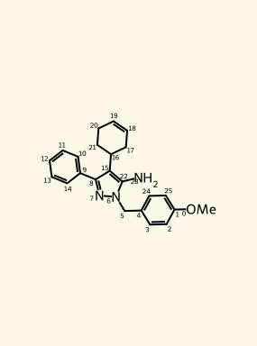 COc1ccc(Cn2nc(-c3ccccc3)c(C3CC=CCC3)c2N)cc1